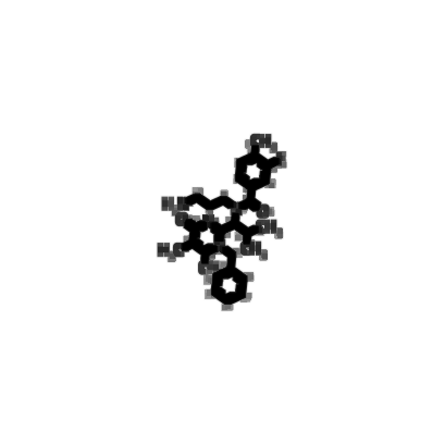 Cc1ccc(C(=O)N(CCCN)C(c2nc(=O)c(C)c(C)n2Cc2ccccc2)C(C)C)cc1F